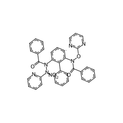 O=C(c1ccccc1)N(Oc1ncccn1)c1[c]ccc(N(C(=O)c2ccccc2)N(c2ccccn2)[N+](=O)[O-])c1-c1ccccc1